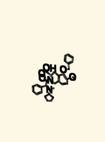 COc1ccc2c(c1OCc1ccccc1)C[C@H](C(=O)O)N(C(=O)[C@H](c1ccccc1)N(C)C1CCCC1)C2